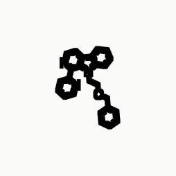 c1ccc(COCCn2c3ccccc3c3ccnc(-c4ccccn4)c32)cc1